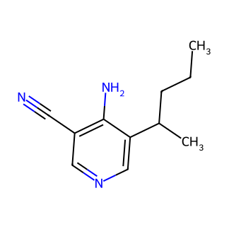 CCCC(C)c1cncc(C#N)c1N